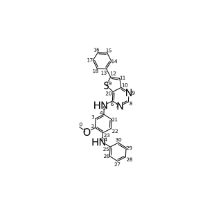 COc1cc(Nc2ncnc3cc(-c4ccccc4)sc23)ccc1Nc1ccccc1